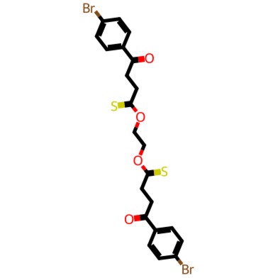 O=C(CCC(=S)OCCOC(=S)CCC(=O)c1ccc(Br)cc1)c1ccc(Br)cc1